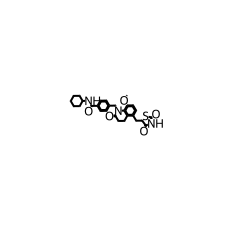 COc1ccc(CC2SC(=O)NC2=O)c2c1N(Cc1ccc(C(=O)NC3CCCCC3)cc1)C(=O)CC2